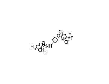 CC(C)(C)OC(=O)NCCc1ccc(Oc2nc(Cl)c(C(F)(F)F)cc2Cl)cc1